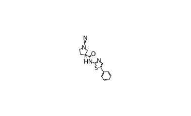 C[C@]1(C(=O)Nc2ncc(-c3ccccc3)s2)CCN(C#N)C1